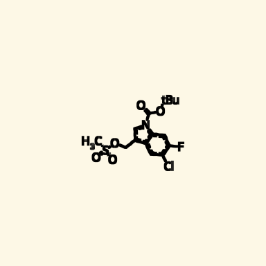 CC(C)(C)OC(=O)n1cc(COS(C)(=O)=O)c2cc(Cl)c(F)cc21